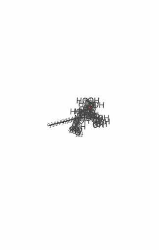 CCCCCCCCCCCCCCCCCC(=O)N[C@@H](COC1OC(CO)C(OC2OC(CO)C(OC3OC(CO)C(O)C(OC4OC(CO)C(O)C(O)C4O)C3C)C(OC3(OC=O)CC(O)C(C)C([C@H](O)[C@H](O)CO)O3)C2O)C(O)C1O)[C@H](O)/C=C/C(=O)Nc1nc(SC)sc1C(=O)OCC